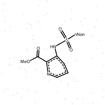 CCCCCCCCCS(=O)(=O)Nc1cccnc1C(=O)OC